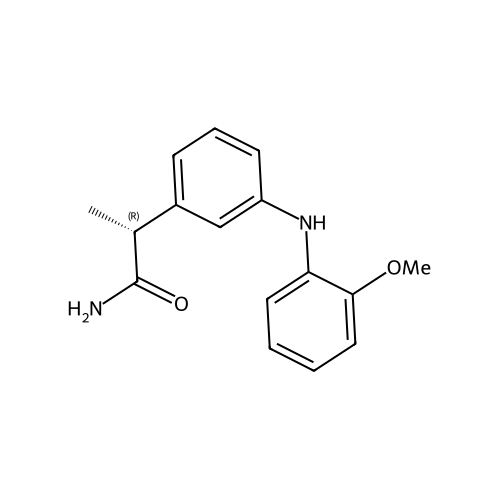 COc1ccccc1Nc1cccc([C@@H](C)C(N)=O)c1